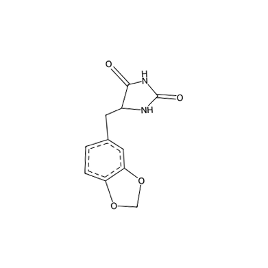 O=C1NC(=O)C(Cc2ccc3c(c2)OCO3)N1